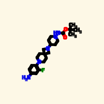 CC(C)(C)OC(=O)NN1CCC(N2CC3(CCN(c4ccc(N)cc4F)CC3)C2)CC1